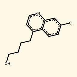 OCCCCc1ccnc2cc(Cl)ccc12